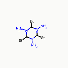 CCC1N(N)C(CC)N(N)C(CC)N1N